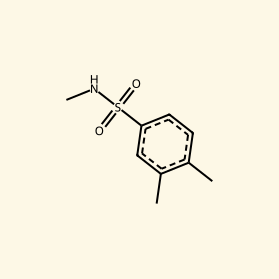 CNS(=O)(=O)c1ccc(C)c(C)c1